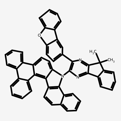 CC1(C)c2ccccc2-c2nc(-n3c4ccc5c6ccccc6c6ccccc6c5c4c4ccc5ccccc5c43)c(-c3ccc4oc5ccccc5c4c3)nc21